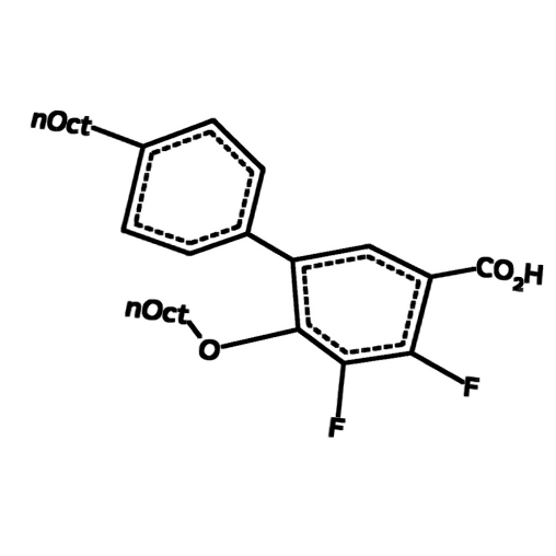 CCCCCCCCOc1c(-c2ccc(CCCCCCCC)cc2)cc(C(=O)O)c(F)c1F